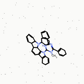 CN1C(C2=CCCC=C2)=NC(c2ccccc2)NC1n1c2c(c3c1C1C(C=C3)C3C=CC=CC3N1C1CCCCC1)CCC=C2